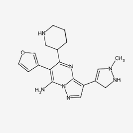 CN1C=C(c2cnn3c(N)c(-c4ccoc4)c(C4CCCNC4)nc23)CN1